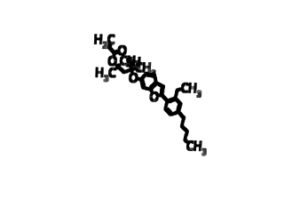 C=CC(=O)OC(C)(C)CC(C)(S)Oc1ccc2cc(-c3ccc(CCCCC)cc3CC)oc2c1